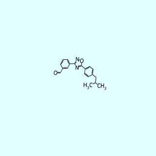 CC(C)Cc1ccc(-c2nc(-c3cccc(C=O)c3)no2)cc1